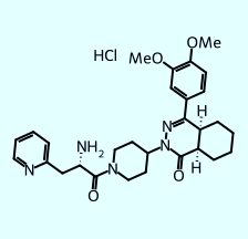 COc1ccc(C2=NN(C3CCN(C(=O)[C@@H](N)Cc4ccccn4)CC3)C(=O)[C@@H]3CCCC[C@H]23)cc1OC.Cl